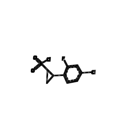 O=S(=O)(Cl)C1CC1c1ccc(Cl)cc1F